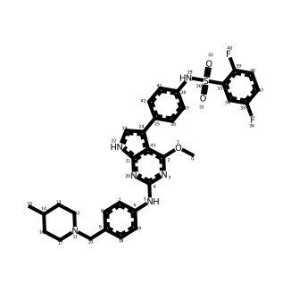 COc1nc(Nc2ccc(CN3CCC(C)CC3)cc2)nc2[nH]cc(-c3ccc(NS(=O)(=O)c4cc(F)ccc4F)cc3)c12